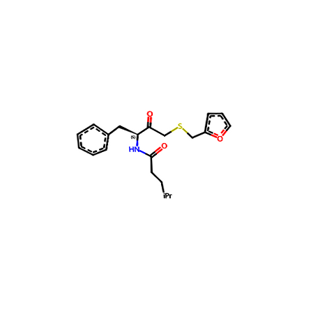 CC(C)CCC(=O)N[C@@H](Cc1ccccc1)C(=O)CSCc1ccco1